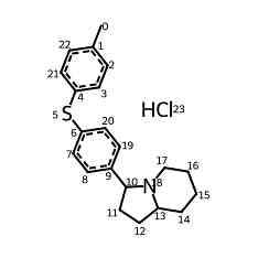 Cc1ccc(Sc2ccc(C3CCC4CCCCN43)cc2)cc1.Cl